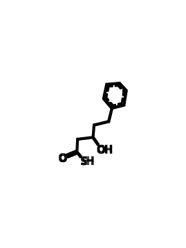 O=C(S)CC(O)CCc1ccccc1